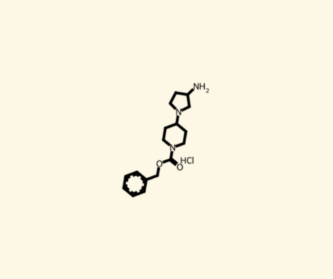 Cl.NC1CCN(C2CCN(C(=O)OCc3ccccc3)CC2)C1